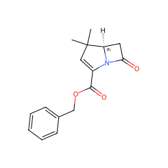 CC1(C)C=C(C(=O)OCc2ccccc2)N2C(=O)C[C@@H]21